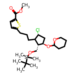 COC(=O)c1ccc(CCCC2[C@H](Cl)C[C@@H](OC3CCCCO3)[C@@H]2CO[Si](C)(C)C(C)(C)C)s1